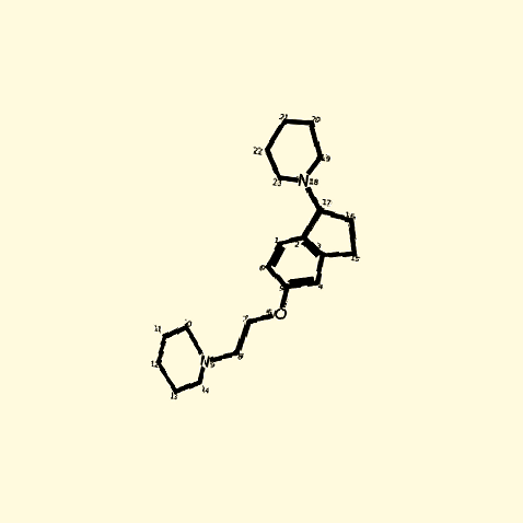 c1cc2c(cc1OCCN1CCCCC1)CCC2N1CCCCC1